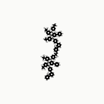 CC(C)(C)c1ccc(N2c3cc(C(C)(C)C)ccc3B3c4cc(C(C)(C)C)ccc4N(c4ccc(-c5cccc6c5oc5ccc(CC(C)(C)c7ccc(N8c9ccc(C(C)(C)C)cc9B9c%10ccc(C(C)(C)C)cc%10N(c%10ccc(-c%11cccc%12c%11oc%11ccccc%11%12)cc%10)c%10cc(-c%11ccccc%11)cc8c%109)cc7)cc56)cc4)c4cc(-c5ccccc5)cc2c43)cc1